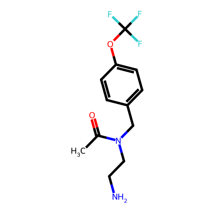 CC(=O)N(CCN)Cc1ccc(OC(F)(F)F)cc1